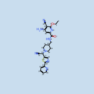 CCOc1nc(C(=O)NCC2CCN(C(C#N)c3cnc(-c4ccccn4)s3)CC2)cc(N)c1C#N